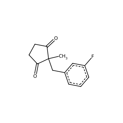 CC1(Cc2cccc(F)c2)C(=O)CCC1=O